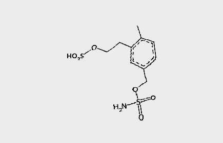 Cc1ccc(COS(N)(=O)=O)cc1CCOS(=O)(=O)O